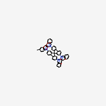 Cc1ccc(N(c2ccccc2)c2ccc3c(c2)C2(c4cc(N(c5ccccc5)c5ccccc5)ccc4-c4ccc(N(c5ccccc5)c5ccccc5)cc42)c2cc(N(c4ccccc4)c4ccccc4)ccc2-3)cc1